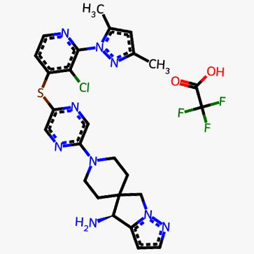 Cc1cc(C)n(-c2nccc(Sc3cnc(N4CCC5(CC4)Cn4nccc4[C@H]5N)cn3)c2Cl)n1.O=C(O)C(F)(F)F